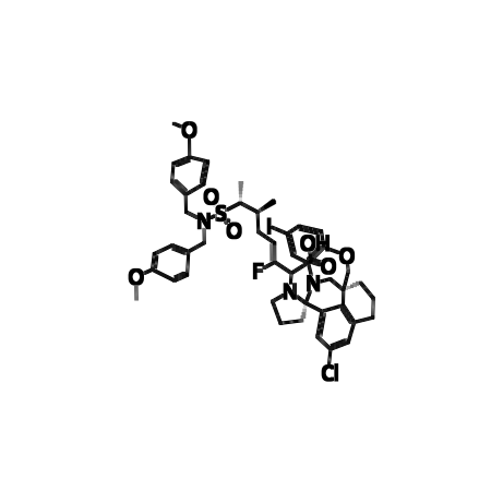 COc1ccc(CN(Cc2ccc(OC)cc2)S(=O)(=O)[C@H](C)[C@@H](C)C/C=C(\F)C(C(=O)O)N2CCC[C@]23c2cc(Cl)cc4c2[C@]2(CCC4)COc4ccc(I)cc4N3C2)cc1